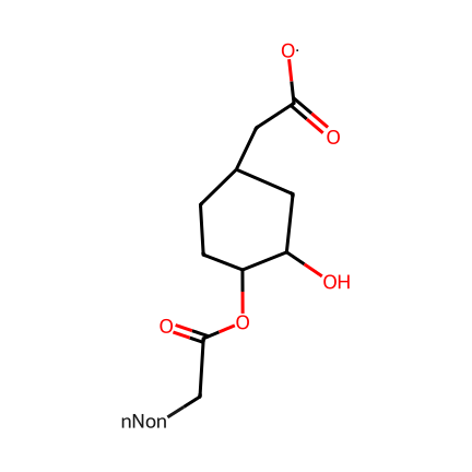 CCCCCCCCCCC(=O)OC1CCC(CC([O])=O)CC1O